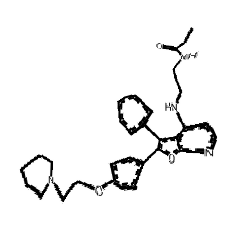 CC(=O)NCCNc1ccnc2oc(-c3ccc(OCCN4CCCCC4)cc3)c(-c3ccccc3)c12